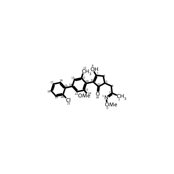 CON=C(C)CC1CC(O)=C(c2c(C)cc(-c3ccccc3Cl)cc2OC)C1=O